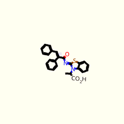 CC(C(=O)O)n1c(=NC(=O)/C(=C/c2ccccc2)c2ccccc2)sc2ccccc21